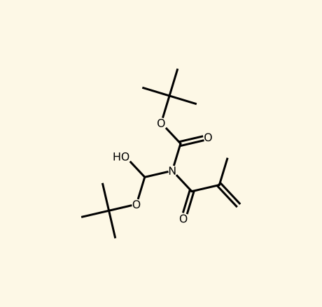 C=C(C)C(=O)N(C(=O)OC(C)(C)C)C(O)OC(C)(C)C